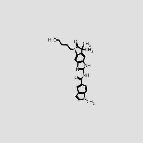 CCCCCN1C(=O)C(C)(C)c2cc3[nH]c(NC(=O)c4ccc5c(ccn5C)c4)nc3cc21